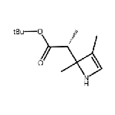 CC1=CNC1(C)[C@@H](C)C(=O)OC(C)(C)C